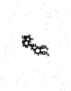 CC1CCC(CNc2ncnc3[nH]ccc23)CC1C